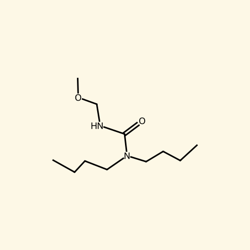 CCCCN(CCCC)C(=O)NCOC